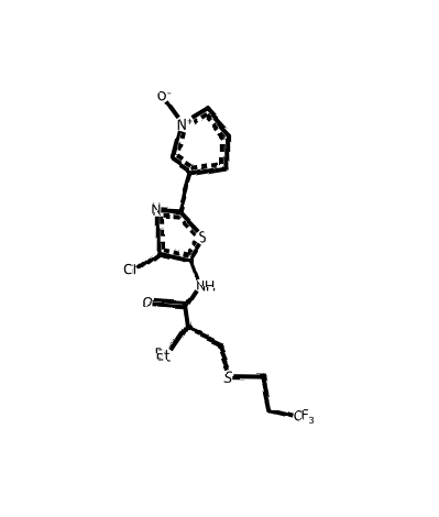 CCC(CSCCC(F)(F)F)C(=O)Nc1sc(-c2ccc[n+]([O-])c2)nc1Cl